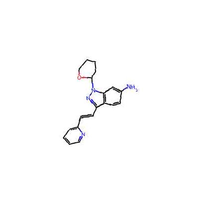 Nc1ccc2c(C=Cc3ccccn3)nn(C3CCCCO3)c2c1